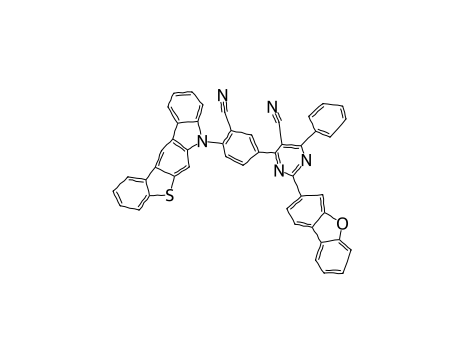 N#Cc1cc(-c2nc(-c3ccc4c(c3)oc3ccccc34)nc(-c3ccccc3)c2C#N)ccc1-n1c2ccccc2c2cc3c(cc21)sc1ccccc13